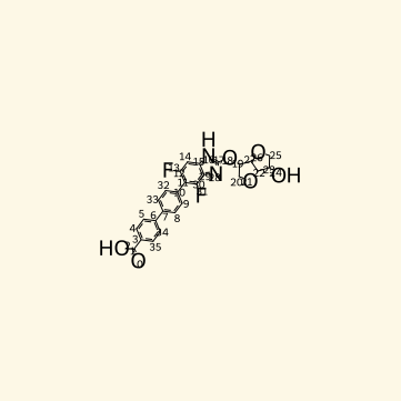 O=C(O)c1ccc(-c2ccc(-c3c(F)cc4[nH]c(OC5COC6C(O)COC56)nc4c3F)cc2)cc1